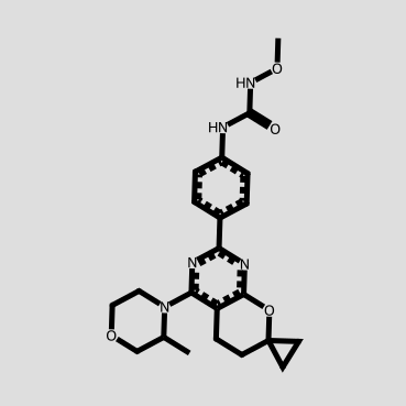 CONC(=O)Nc1ccc(-c2nc3c(c(N4CCOCC4C)n2)CCC2(CC2)O3)cc1